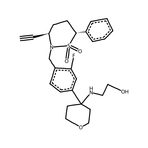 C#C[C@H]1CC[C@H](c2ccccc2)S(=O)(=O)N1Cc1ccc(C2(NCCO)CCOCC2)cc1F